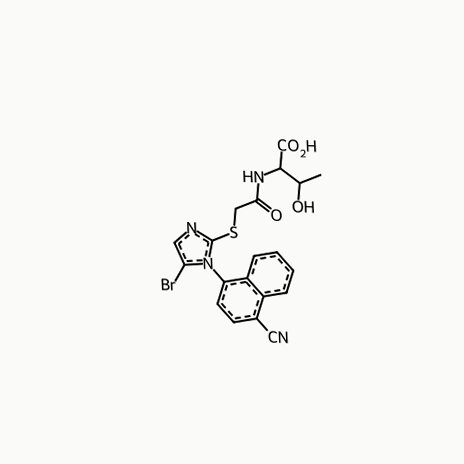 CC(O)C(NC(=O)CSc1ncc(Br)n1-c1ccc(C#N)c2ccccc12)C(=O)O